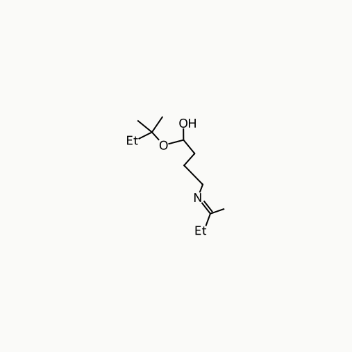 CCC(C)=NCCCC(O)OC(C)(C)CC